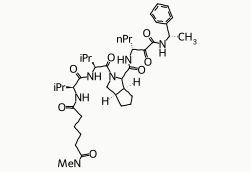 CCC[C@@H](NC(=O)C1[C@H]2CCC[C@H]2CN1C(=O)[C@@H](NC(=O)[C@@H](NC(=O)CCCCC(=O)NC)C(C)C)C(C)C)C(=O)C(=O)N[C@@H](C)c1ccccc1